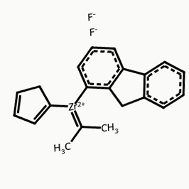 C[C](C)=[Zr+2]([C]1=CC=CC1)[c]1cccc2c1Cc1ccccc1-2.[F-].[F-]